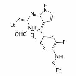 CC/C=C(/N=C1/NC=C/C1=C(/C)c1ccc(NSCC)c(F)c1)NC=O